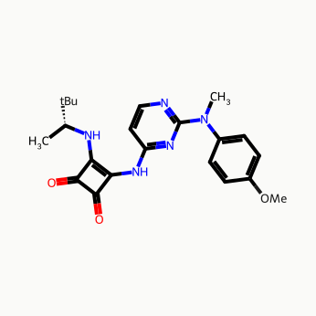 COc1ccc(N(C)c2nccc(Nc3c(N[C@H](C)C(C)(C)C)c(=O)c3=O)n2)cc1